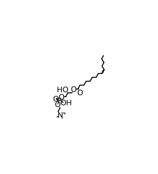 CCCC/C=C\CCCCCCCC(=O)OC[C@@H](O)COP(=O)(O)OCC[N+](C)(C)C